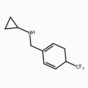 FC(F)(F)C1C=CC(CNC2CC2)=CC1